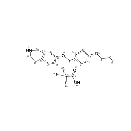 FCCOc1ccc(COc2ccc3c(c2)CNCC3)nc1.O=C(O)C(F)(F)F